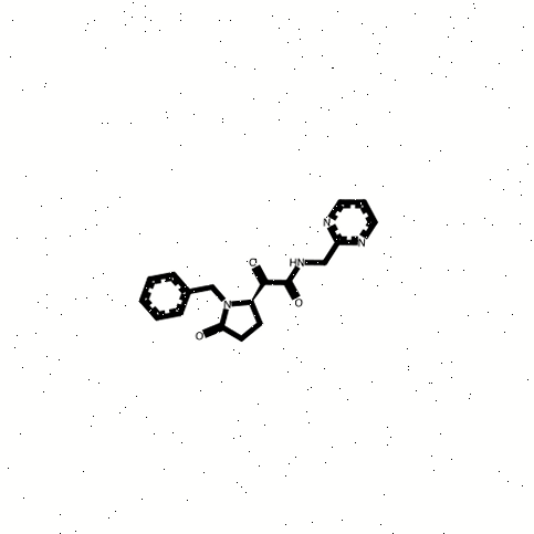 O=C(NCc1ncccn1)C(=O)[C@H]1CCC(=O)N1Cc1ccccc1